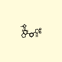 C[C@H]1CCN1c1nc2c(c(-c3cccc(C4CCS(=O)(=O)N4)c3)n1)CCC2